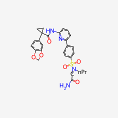 CCCN(CC(N)=O)S(=O)(=O)c1ccc(-c2cccc(NC(=O)C3(c4ccc5c(c4)OCO5)CC3)n2)cc1